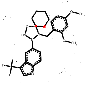 COc1ccc(CN2N(c3ccc4occ(C(F)(F)F)c4c3)NO[C@@]23CC2CCC3CC2)c(OC)c1